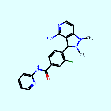 CN1c2ccnc(N)c2C(c2ccc(C(=O)Nc3ccccn3)cc2F)N1C